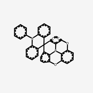 c1ccc(N2c3ccccc3C3(c4ccccc42)c2cccc4c2N2c5c(cccc5Oc5cccc3c52)O4)cc1